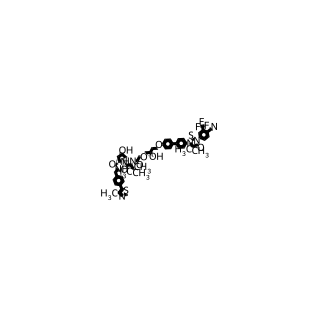 Cc1ncsc1-c1ccc(CNC(=O)[C@@H]2C[C@@H](O)CN2C(=O)[C@@H](NC(=O)COC[C@@H](O)CCOc2ccc(-c3ccc(N4C(=S)N(c5ccc(C#N)c(C(F)(F)F)c5)C(=O)C4(C)C)cc3)cc2)C(C)(C)C)cc1